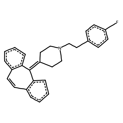 Fc1ccc(CCN2CCC(=C3c4ccccc4C=Cc4ccccc43)CC2)cc1